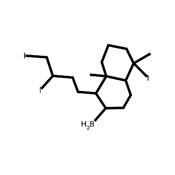 BC1CCC2C(C)(I)CCCC2(C)C1CCC(I)CI